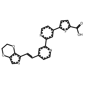 O=C(O)c1ccc(-c2ccnc(-c3cc(/C=C/c4scc5c4OCCO5)ccn3)c2)s1